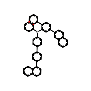 c1ccc(-c2ccc(-c3ccc4ccccc4c3)cc2N(c2ccccc2)c2ccc(-c3ccc(-c4cccc5ccccc45)cc3)cc2)cc1